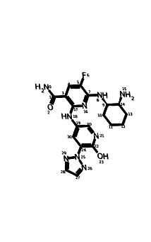 NC(=O)c1cc(F)c(N[C@@H]2CCCC[C@@H]2N)nc1Nc1cnc(O)c(-n2nccn2)c1